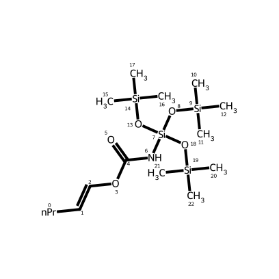 CCCC=COC(=O)N[Si](O[Si](C)(C)C)(O[Si](C)(C)C)O[Si](C)(C)C